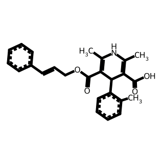 CC1=C(C(=O)O)C(c2ccccc2C)C(C(=O)OC/C=C/c2ccccc2)=C(C)N1